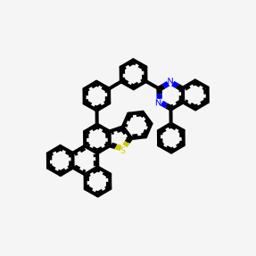 c1ccc(-c2nc(-c3cccc(-c4cccc(-c5cc6c7ccccc7c7ccccc7c6c6sc7ccccc7c56)c4)c3)nc3ccccc23)cc1